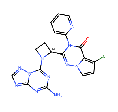 Nc1nc(N2CC[C@H]2c2nn3ccc(Cl)c3c(=O)n2-c2ccccn2)n2ncnc2n1